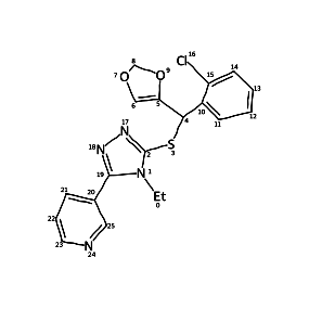 CCn1c(SC(C2=COCO2)c2ccccc2Cl)nnc1-c1cccnc1